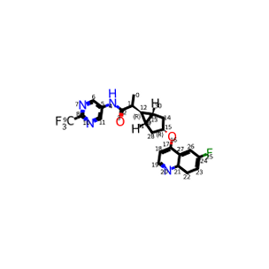 CC(C(=O)Nc1cnc(C(F)(F)F)nc1)[C@H]1[C@@H]2C[C@H](OC3=CC=NC4CC=C(F)C=C34)C[C@@H]21